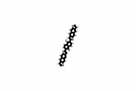 Fc1c(-c2cc3cc4cc5sccc5cc4cc3s2)ccc2c(F)c(-c3cc4cc5cc6sccc6cc5cc4s3)ccc12